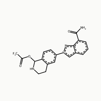 NC(=O)c1cccc2cn(-c3ccc4c(c3)CCNC4OC(=O)C(F)(F)F)nc12